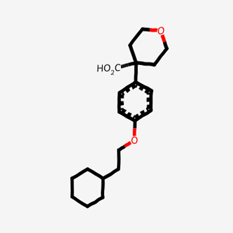 O=C(O)C1(c2ccc(OCCC3CCCCC3)cc2)CCOCC1